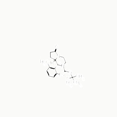 Cc1cccc(F)c1[C@H]1[C@@H]2CCC(=O)N2CCN1C(=O)OC(C)(C)C